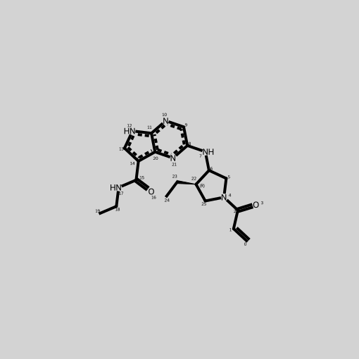 C=CC(=O)N1CC(Nc2cnc3[nH]cc(C(=O)NCC)c3n2)[C@H](CC)C1